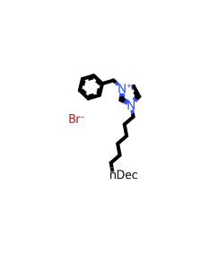 CCCCCCCCCCCCCCCCn1cc[n+](Cc2ccccc2)c1.[Br-]